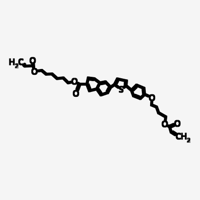 C=CC(=O)OCCCCCCOC(=O)c1ccc2cc(-c3ccc(-c4ccc(OCCCCOC(=O)C=C)cc4)s3)ccc2c1